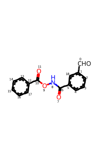 O=Cc1cccc(C(=O)NOC(=O)c2ccccc2)c1